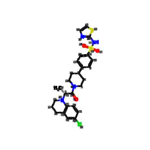 C[C@H](C(=O)N1CCC(c2ccc(S(=O)(=O)Nc3nccs3)cc2)CC1)N1CCCc2cc(Cl)ccc21